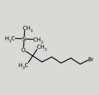 CC(C)(CCCCCBr)O[Si](C)(C)C